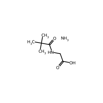 CC(C)(C)C(=O)NCC(=O)O.N